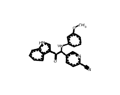 COc1cccc(NC(C(=O)c2c[nH]c3ccccc23)c2ccc(C#N)nc2)c1